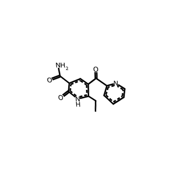 CCc1[nH]c(=O)c(C(N)=O)cc1C(=O)c1ccccn1